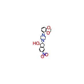 O=[N+]([O-])c1ccc2c(c1)CC(N1CCN(c3cccc4c3OCCO4)CC1)C2O